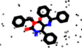 CC(C)(C)OC(=O)NC(c1ccccc1)C(N=C(c1ccccc1)c1ccccc1)C(=O)OCc1ccccc1